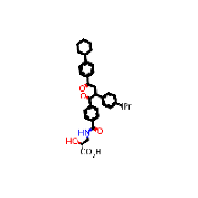 CC(C)c1ccc(C(CC(=O)c2ccc(C3CCCCC3)cc2)C(=O)c2ccc(C(=O)NC[C@@H](O)C(=O)O)cc2)cc1